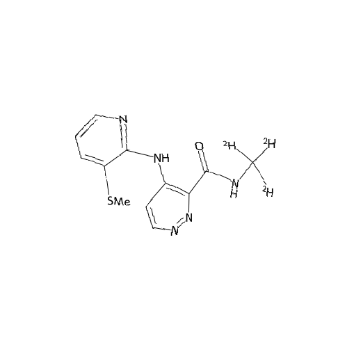 [2H]C([2H])([2H])NC(=O)c1nnccc1Nc1ncccc1SC